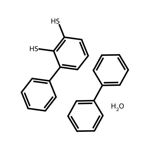 O.Sc1cccc(-c2ccccc2)c1S.c1ccc(-c2ccccc2)cc1